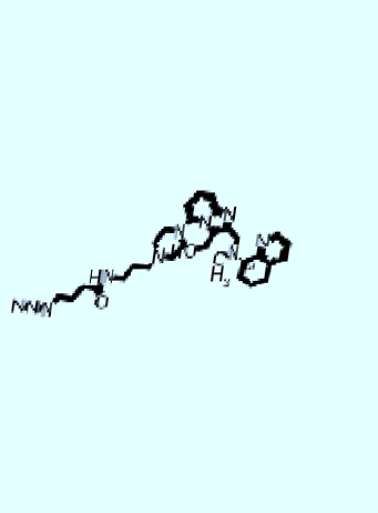 CN(Cc1nc2cccc(N3CCN(CCCNC(=O)CCCN=[N+]=[N-])CC3)n2c1CO)[C@H]1CCCc2cccnc21